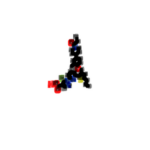 CCCc1cc(COc2ccc(C3CCN(C(=O)CC)CC3)cc2C)c(-c2cccc(-n3ncc(C(=O)O)c3F)n2)s1